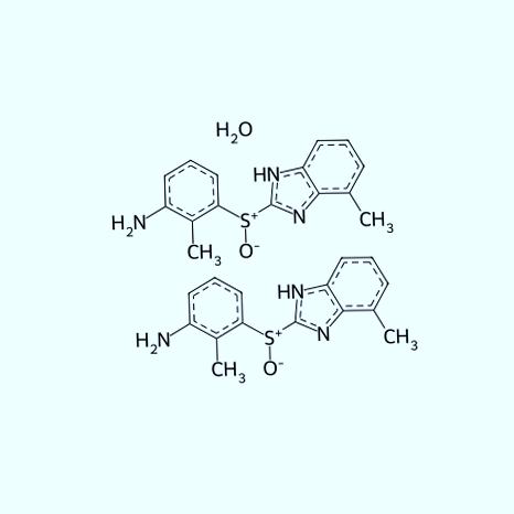 Cc1c(N)cccc1[S+]([O-])c1nc2c(C)cccc2[nH]1.Cc1c(N)cccc1[S+]([O-])c1nc2c(C)cccc2[nH]1.O